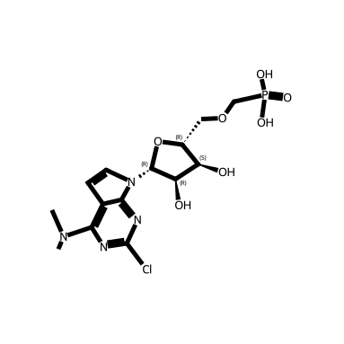 CN(C)c1nc(Cl)nc2c1ccn2[C@@H]1O[C@H](COCP(=O)(O)O)[C@@H](O)[C@H]1O